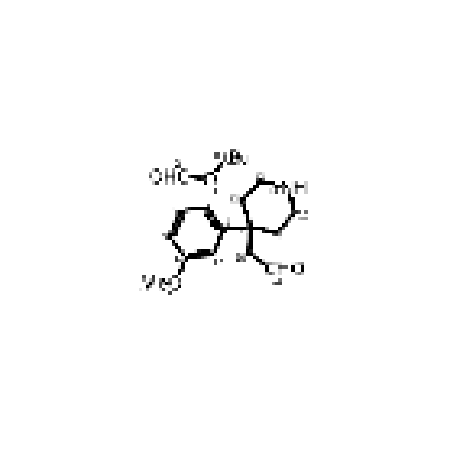 CC(C)(C)OC=O.COc1cccc(C2(CC=O)CCNCC2)c1